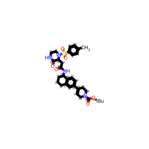 Cc1ccc(S(=O)(=O)N2CCNC(=O)C2CC(=O)NC2CCCc3cc(C4=CCN(C(=O)OC(C)(C)C)CC4)ccc32)cc1